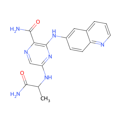 CC(Nc1cnc(C(N)=O)c(Nc2ccc3ncccc3c2)n1)C(N)=O